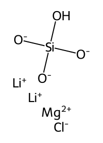 [Cl-].[Li+].[Li+].[Mg+2].[O-][Si]([O-])([O-])O